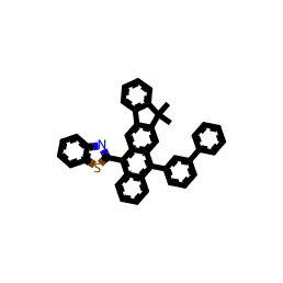 CC1(C)c2ccccc2-c2cc3c(-c4nc5ccccc5s4)c4ccccc4c(-c4cccc(-c5ccccc5)c4)c3cc21